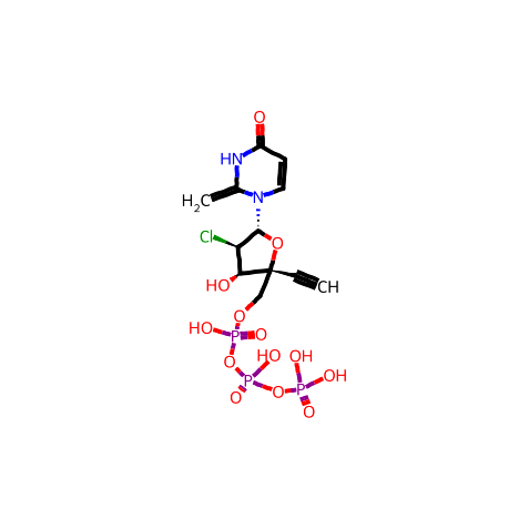 C#C[C@]1(COP(=O)(O)OP(=O)(O)OP(=O)(O)O)O[C@@H](N2C=CC(=O)NC2=C)[C@H](Cl)[C@@H]1O